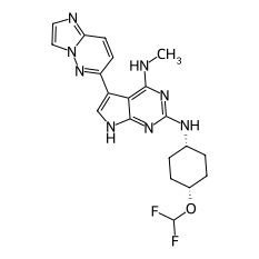 CNc1nc(N[C@H]2CC[C@@H](OC(F)F)CC2)nc2[nH]cc(-c3ccc4nccn4n3)c12